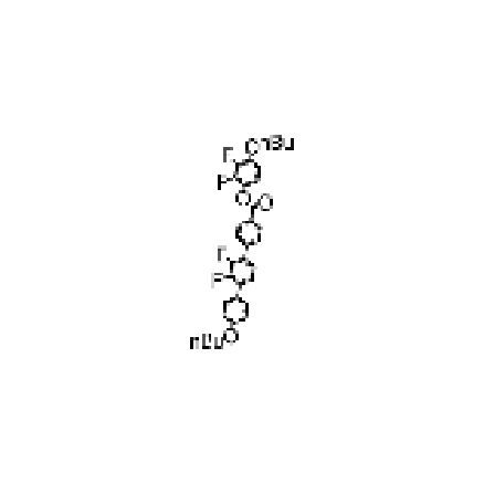 CCCCOc1ccc(-c2ccc(-c3ccc(C(=O)Oc4ccc(OCCCC)c(F)c4F)cc3)c(F)c2F)cc1